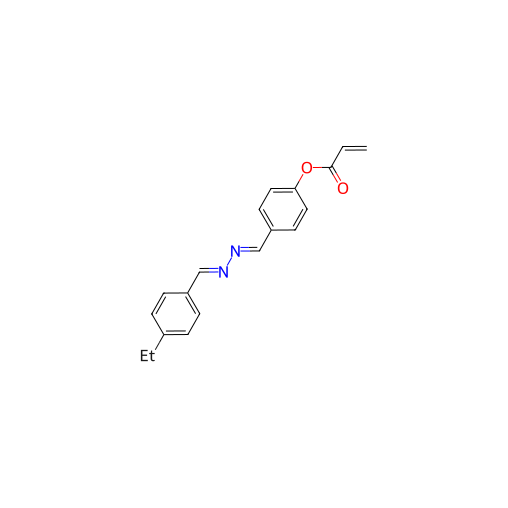 C=CC(=O)Oc1ccc(/C=N/N=C/c2ccc(CC)cc2)cc1